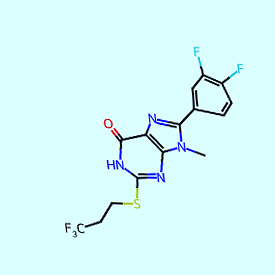 Cn1c(-c2ccc(F)c(F)c2)nc2c(=O)[nH]c(SCCC(F)(F)F)nc21